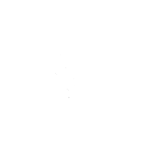 CCCn1c(=O)c2[nH]c(CO)nc2n(Cc2ccccc2)c1=O